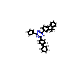 CC1(C)c2ccccc2-c2ccc(-c3nc(-c4ccccc4)nc(-c4ccc(-c5ccccc5)cc4)n3)cc21